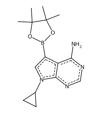 CC1(C)OB(c2cn(C3CC3)c3ncnc(N)c23)OC1(C)C